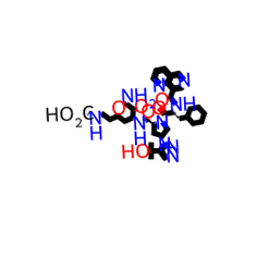 CC(C)(O)c1cnnn1[C@H]1C[C@@H](C(=O)NC(CCCCNC(=O)O)C(=O)C(N)=O)N(C(=O)[C@@H](CC2CCCCC2)NC(=O)c2cncc3cccnc23)C1